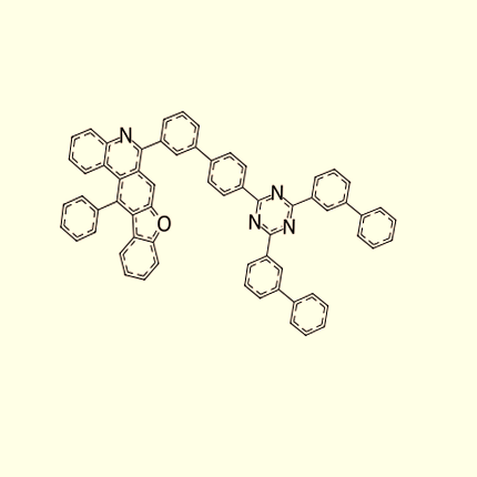 c1ccc(-c2cccc(-c3nc(-c4ccc(-c5cccc(-c6nc7ccccc7c7c(-c8ccccc8)c8c(cc67)oc6ccccc68)c5)cc4)nc(-c4cccc(-c5ccccc5)c4)n3)c2)cc1